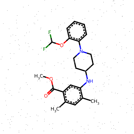 COC(=O)c1cc(NC2CCN(c3ccccc3OC(F)F)CC2)c(C)cc1C